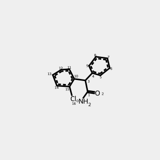 NC(=O)C(c1ccccc1)c1ccccc1Cl